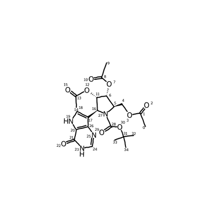 CC(=O)OC[C@@H]1[C@@H](OC(C)=O)[C@@H](OC(C)=O)[C@H](c2c[nH]c3c(=O)[nH]cnc23)N1C(=O)OC(C)(C)C